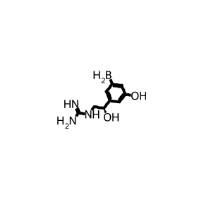 Bc1cc(O)cc([C@@H](O)CNC(=N)N)c1